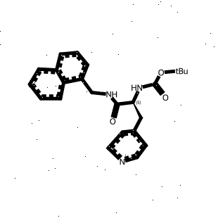 CC(C)(C)OC(=O)N[C@@H](Cc1ccncc1)C(=O)NCc1cccc2ccccc12